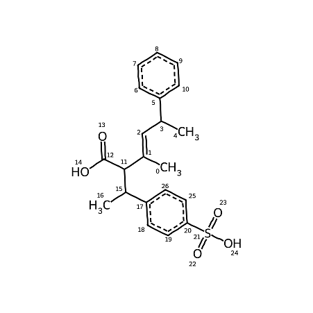 CC(=CC(C)c1ccccc1)C(C(=O)O)C(C)c1ccc(S(=O)(=O)O)cc1